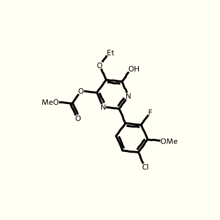 CCOc1c(O)nc(-c2ccc(Cl)c(OC)c2F)nc1OC(=O)OC